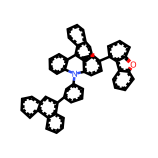 c1cc(-c2cc3ccccc3c3ccccc23)cc(N(c2ccc(-c3cccc4oc5ccccc5c34)cc2)c2ccccc2-c2cccc3ccccc23)c1